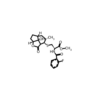 COC(=O)[C@H](CS[C@H]1C2C(=O)O[C@@H]3CC[C@H](C[C@@H]1C)[C@]23O)NC(=O)c1ccccc1F